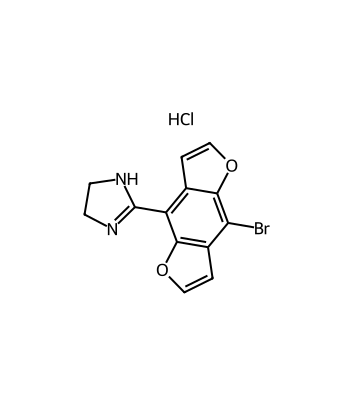 Brc1c2ccoc2c(C2=NCCN2)c2ccoc12.Cl